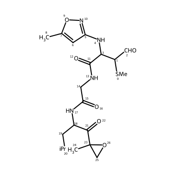 CSC(C=O)C(Nc1cc(C)on1)C(=O)NCC(=O)NC(CC(C)C)C(=O)C1(C)CO1